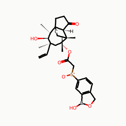 C=C[C@]1(C)C[C@@H](OC(=O)C[S+]([O-])c2ccc3c(c2)B(O)OC3)[C@]2(C)[C@H](C)CC[C@]3(CCC(=O)[C@H]32)[C@@H](C)[C@@H]1O